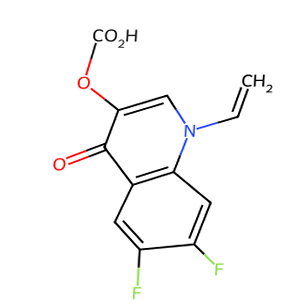 C=Cn1cc(OC(=O)O)c(=O)c2cc(F)c(F)cc21